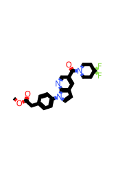 COC(=O)Cc1ccc(-n2ccc3cc(C(=O)N4CCC(F)(F)CC4)cnc32)cc1